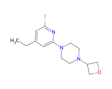 CCc1cc(F)nc(N2CCN(C3COC3)CC2)c1